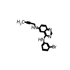 CC#CCNc1ccc2ncnc(Nc3cccc(Br)c3)c2c1